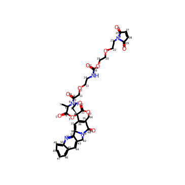 CC[C@@]1(OC(=O)C(C)NC(=O)COCCNC(=O)OCCOCCN2C(=O)C=CC2=O)C(=O)OCc2c1cc1n(c2=O)Cc2cc3ccccc3nc2-1